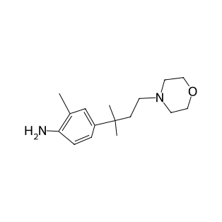 Cc1cc(C(C)(C)CCN2CCOCC2)ccc1N